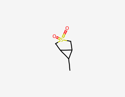 CC1C2CS(=O)(=O)CC12